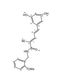 COc1ccccc1CNC(=O)/C(C#N)=C/C=C/c1cc(O)cc(O)c1